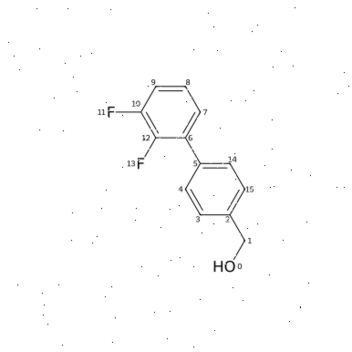 OCc1ccc(-c2cccc(F)c2F)cc1